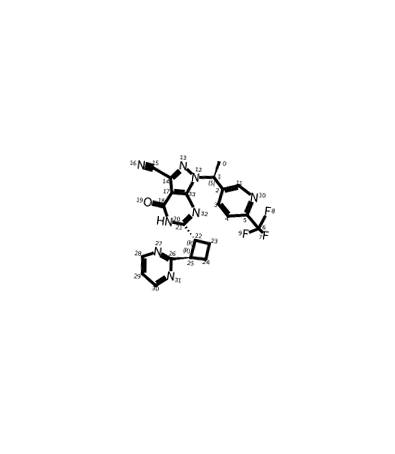 C[C@@H](c1ccc(C(F)(F)F)nc1)n1nc(C#N)c2c(=O)[nH]c([C@@H]3CC[C@H]3c3ncccn3)nc21